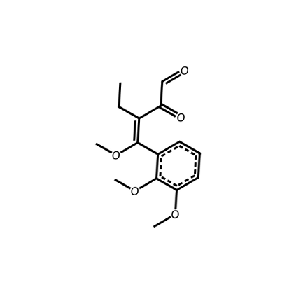 CCC(C(=O)C=O)=C(OC)c1cccc(OC)c1OC